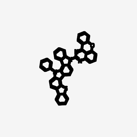 c1ccc(-n2c3ccc4c5ccccc5sc4c3c3ccc4c(c5ccccc5n4-c4nc5c6c(cccc6n4)Oc4ccccc4-5)c32)cc1